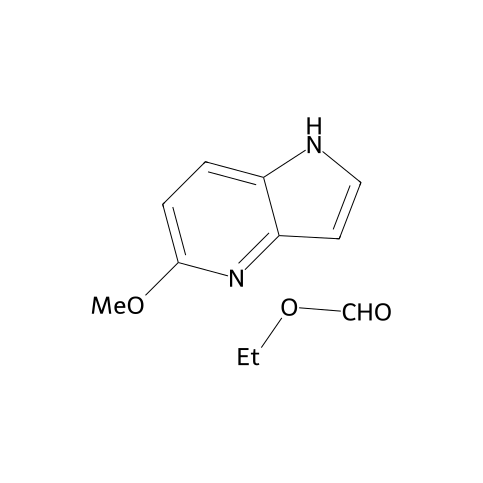 CCOC=O.COc1ccc2[nH]ccc2n1